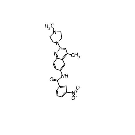 Cc1cc(N2CCN(C)CC2)nc2ccc(NC(=O)c3cccc([N+](=O)[O-])c3)cc12